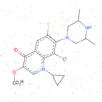 CC1CN(c2c(F)cc3c(=O)c(OC(=O)O)cn(C4CC4)c3c2Cl)CC(C)N1